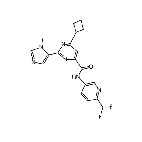 Cn1cncc1-c1nc(C(=O)Nc2ccc(C(F)F)nc2)cc(C2CCC2)n1